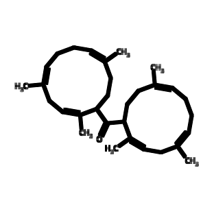 CC1=CCCC=C(C)CCC(C(=O)C2CCC(C)=CCCC=C(C)CC=C2C)C(C)=CC1